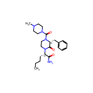 CCCC[C@@H](C(N)=O)N1CCN(C(=O)N2CCN(C)CC2)[C@H](Cc2ccccc2)C1=O